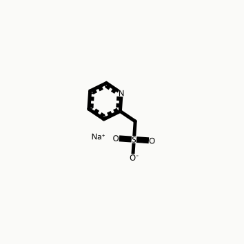 O=S(=O)([O-])Cc1ccccn1.[Na+]